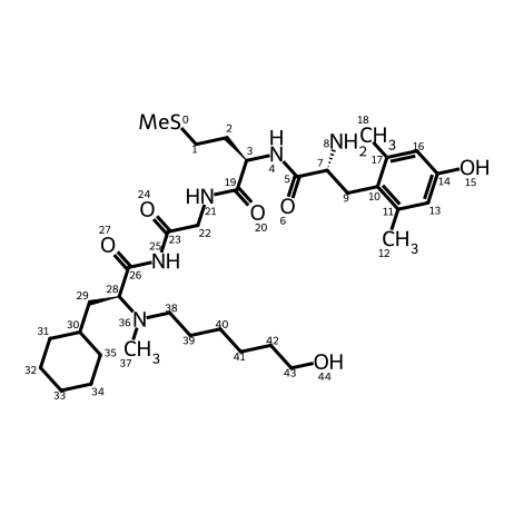 CSCC[C@@H](NC(=O)[C@H](N)Cc1c(C)cc(O)cc1C)C(=O)NCC(=O)NC(=O)[C@H](CC1CCCCC1)N(C)CCCCCCO